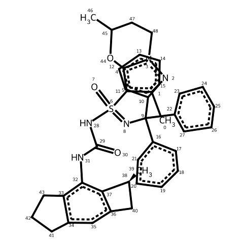 Cc1nn2c(c1S(=O)(=NC(c1ccccc1)(c1ccccc1)c1ccccc1)NC(=O)Nc1c3c(cc4c1[C@@H](C)C4)CCC3)OC(C)CC2